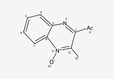 CC(=O)c1nc2ccccc2[n+]([O-])c1C